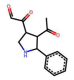 CC(=O)C1C(C(=O)C=O)CNC1c1ccccc1